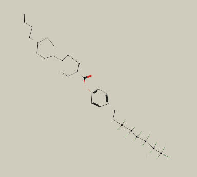 CCCC[C@H]1CC[C@H]([C@H]2CC[C@H](C(=O)Oc3ccc(CCC(F)(F)C(F)(F)C(F)(F)C(F)(F)C(F)(F)C(F)(F)F)cc3)CC2)CC1